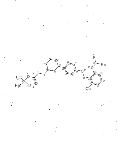 CC(C)(C)OC(=O)CCN1CCOC(c2ccc(OCc3c(Cl)cccc3OC(F)F)cc2)C1